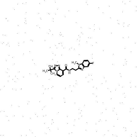 Cn1c(CCNC(=O)c2cccn3c(C(C)(C)C)nnc23)nc2cc(F)ccc21